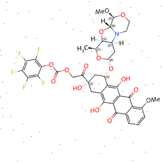 COc1cccc2c1C(=O)c1c(O)c3c(c(O)c1C2=O)C[C@@](O)(C(=O)COC(=O)Oc1c(F)c(F)c(F)c(F)c1F)C[C@@H]3O[C@H]1C[C@H]2[C@H](O[C@@H]3[C@@H](OC)OCCN32)[C@H](C)O1